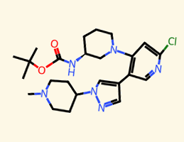 CN1CCC(n2cc(-c3cnc(Cl)cc3N3CCC[C@H](NC(=O)OC(C)(C)C)C3)cn2)CC1